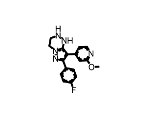 COc1cc(-c2c(-c3ccc(F)cc3)nn3c2NNCC3)ccn1